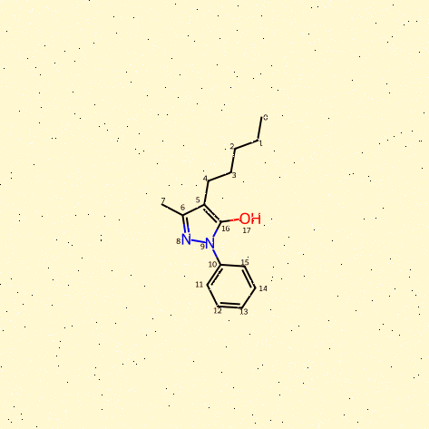 CCCCCc1c(C)nn(-c2ccccc2)c1O